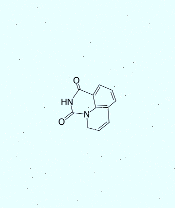 O=c1[nH]c(=O)n2c3c(cccc13)C=CC2